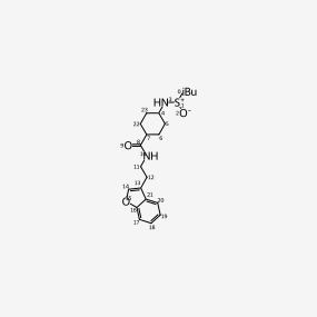 CCC(C)[S+]([O-])NC1CCC(C(=O)NCCc2coc3ccccc23)CC1